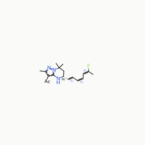 CC(=O)c1c(C)nn2c1N[C@@H](/C=C/C=C\C=C(/C)F)CC2(C)C